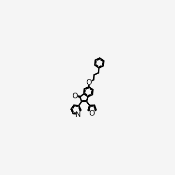 O=C1C(c2cccnc2)=C(c2ccoc2)c2ccc(OCCCc3ccccc3)cc21